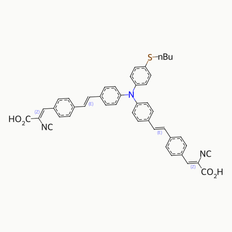 [C-]#[N+]/C(=C\c1ccc(/C=C/c2ccc(N(c3ccc(/C=C/c4ccc(/C=C(\[N+]#[C-])C(=O)O)cc4)cc3)c3ccc(SCCCC)cc3)cc2)cc1)C(=O)O